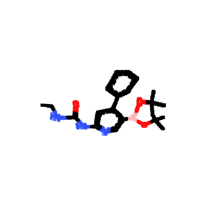 CCNC(=O)Nc1cc(-c2ccccc2)c(B2OC(C)(C)C(C)(C)O2)cn1